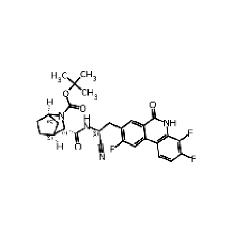 CC(C)(C)OC(=O)N1[C@@H]2CC[C@@H](C2)[C@H]1C(=O)N[C@H](C#N)Cc1cc2c(=O)[nH]c3c(F)c(F)ccc3c2cc1F